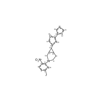 Cc1ccc([N+](=O)[O-])c(N2CCC3C(C2)C3c2coc(-c3cccs3)n2)n1